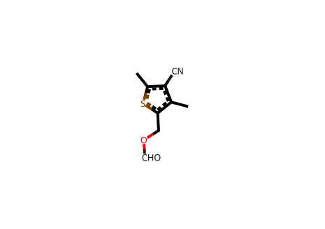 Cc1sc(COC=O)c(C)c1C#N